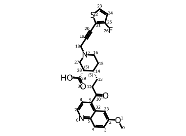 COc1ccc2nccc(C(=O)CC[C@H]3CCN(CC#Cc4sccc4F)C[C@H]3C(=O)O)c2c1